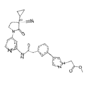 COC(=O)Cn1cc(-c2cccc(CC(=O)Nc3cc(N4CC[C@@](C#N)(C5CC5)C4=O)ccn3)c2)cn1